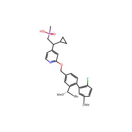 COc1ccc(F)c(-c2ccc(COc3cc(C(CP(C)(=O)O)C4CC4)ccn3)cc2[C@@H](OC)C(C)(C)C)c1